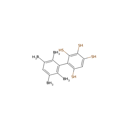 Bc1cc(B)c(B)c(-c2c(S)cc(S)c(S)c2S)c1B